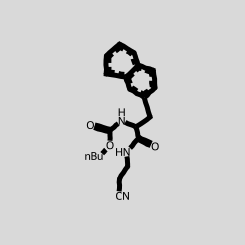 CCCCOC(=O)NC(Cc1ccc2ccccc2c1)C(=O)NCCC#N